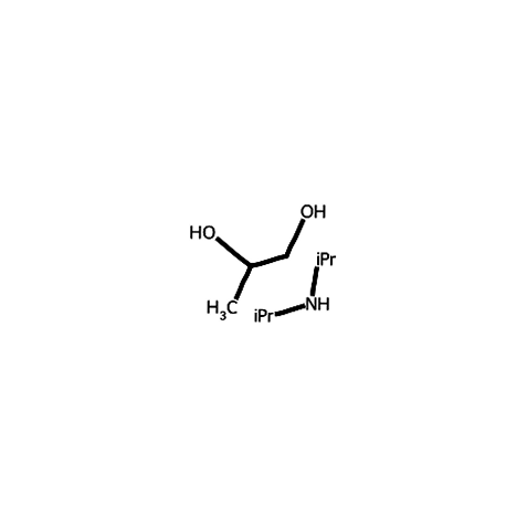 CC(C)NC(C)C.CC(O)CO